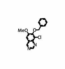 COc1cc2cncnc2c(Cl)c1OCc1ccccc1